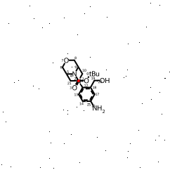 CC(C)(C)OC(=O)N1C2COCC1CN(c1ccc(N)cc1CO)C2